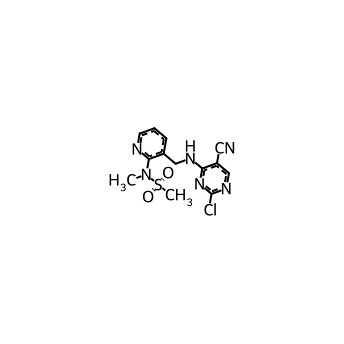 CN(c1ncccc1CNc1nc(Cl)ncc1C#N)S(C)(=O)=O